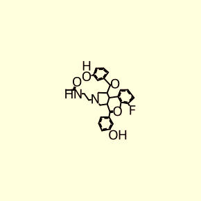 CC(=O)NCCN1CC(C(=O)c2cccc(O)c2)C(c2cccc(F)c2C)C(C(=O)c2cccc(O)c2)C1